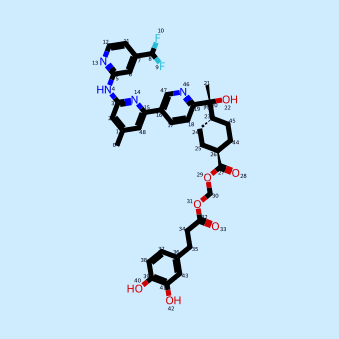 Cc1cc(Nc2cc(C(F)F)ccn2)nc(-c2ccc([C@](C)(O)[C@H]3CC[C@H](C(=O)OCOC(=O)CCc4ccc(O)c(O)c4)CC3)nc2)c1